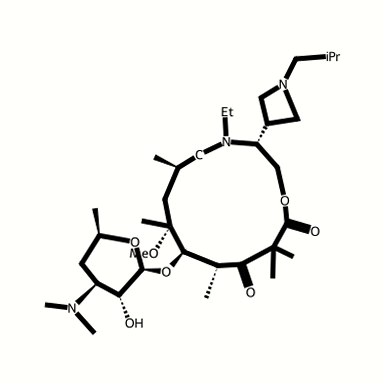 CCN1C[C@H](C)C[C@@](C)(OC)[C@H](O[C@@H]2O[C@H](C)C[C@H](N(C)C)[C@H]2O)[C@@H](C)C(=O)C(C)(C)C(=O)OC[C@H]1C1CN(CC(C)C)C1